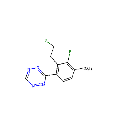 O=C(O)c1ccc(-c2nncnn2)c(CCF)c1F